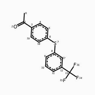 CC(=O)c1ccc(Sc2cccc(C(F)(F)F)c2)cc1